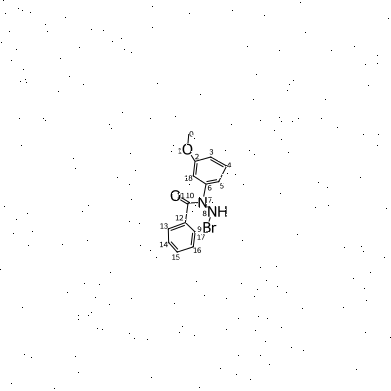 COc1cccc(N(NBr)C(=O)c2ccccc2)c1